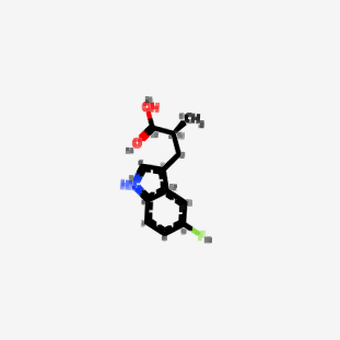 C[C@@H](Cc1c[nH]c2ccc(F)cc12)C(=O)O